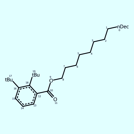 CCCCCCCCCCCCCCCCCCOC(=O)c1cc[c]c(C(C)(C)C)c1C(C)(C)C